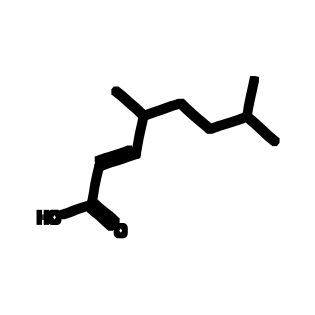 CC(C)CCC(C)C=CC(=O)O